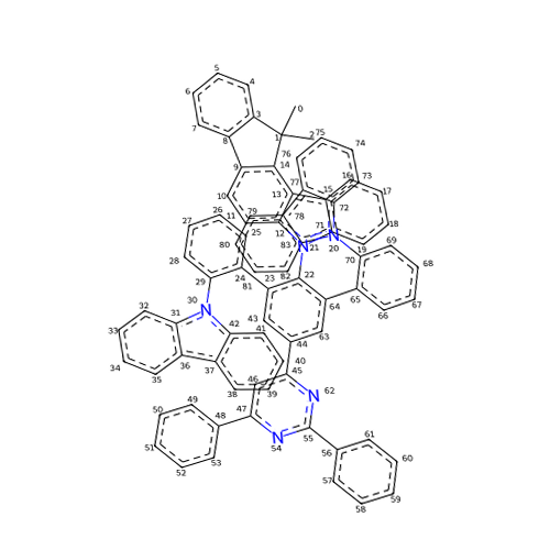 CC1(C)c2ccccc2-c2ccc3c(c21)c1ccccc1n3-c1c(-c2ccccc2-n2c3ccccc3c3ccccc32)cc(-c2cc(-c3ccccc3)nc(-c3ccccc3)n2)cc1-c1ccccc1-n1c2ccccc2c2ccccc21